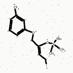 CC(C)(C)[Si](C)(C)OC(=CCI)COc1cccc(C(F)(F)F)c1